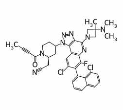 CC#CC(=O)N1CCC(n2nnc3c(N4CC(C)(N(C)C)C4)nc4c(F)c(-c5cccc6cccc(Cl)c56)c(Cl)cc4c32)C[C@H]1CC#N